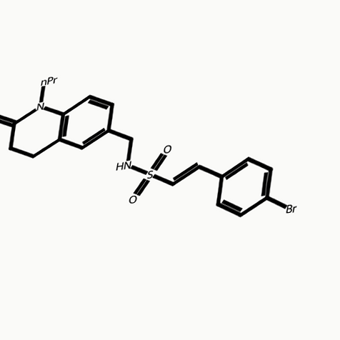 CCCN1C(=O)CCc2cc(CNS(=O)(=O)C=Cc3ccc(Br)cc3)ccc21